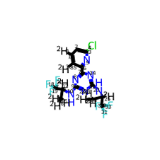 [2H]c1cc(Cl)nc(-c2nc(NC([2H])(C([2H])([2H])[2H])C(F)(F)F)nc(NC([2H])(C([2H])([2H])[2H])C(F)(F)F)n2)c1[2H]